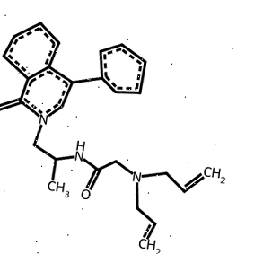 C=CCN(CC=C)CC(=O)NC(C)Cn1cc(-c2ccccc2)c2ccccc2c1=O